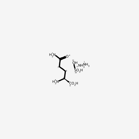 N.N.NC(=O)CC[C@H](N)C(=O)O.O=S(=O)(O)O